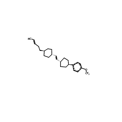 N#CC=CCC[C@H]1CC[C@H](C=C[C@H]2CC[C@H](c3ccc(OC(F)(F)F)cc3)CC2)CC1